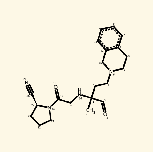 CC(C=O)(CCN1CCc2ccccc2C1)NCC(=O)N1CCC[C@H]1C#N